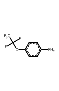 FC(F)(F)C(F)(F)Oc1ccc(P)cc1